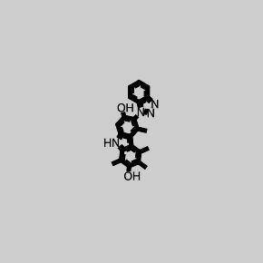 Cc1c(O)c(C)c2[nH]c3cc(O)c(-n4nnc5ccccc54)c(C)c3c2c1C